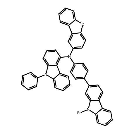 CCn1c2ccccc2c2ccc(-c3ccc(N(c4ccc5oc6ccccc6c5c4)c4cccc5c4c4ccccc4n5-c4ccccc4)cc3)cc21